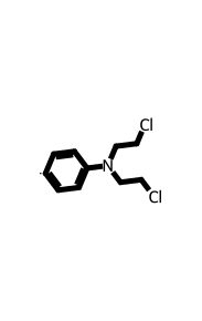 ClCCN(CCCl)c1cc[c]cc1